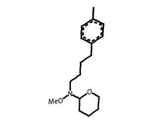 CON(CCCCc1ccc(C)cc1)C1CCCCO1